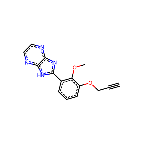 C#CCOc1cccc(-c2nc3nccnc3[nH]2)c1OC